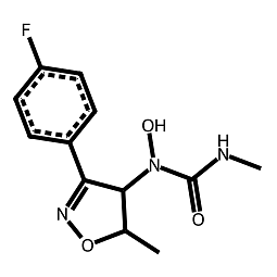 CNC(=O)N(O)C1C(c2ccc(F)cc2)=NOC1C